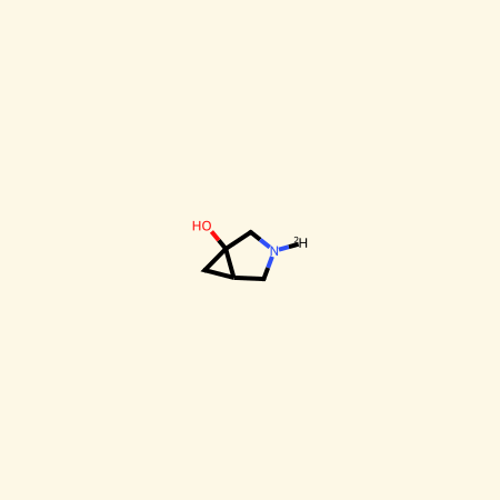 [2H]N1CC2CC2(O)C1